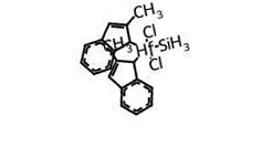 CC1=Cc2ccccc2[CH]1[Hf]([SiH3])([Cl])([Cl])[CH]1C(C)=Cc2ccccc21